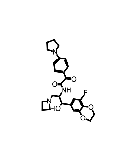 O=C(NC(CN1CCC1)C(O)c1cc(F)c2c(c1)OCCO2)C(=O)c1ccc(N2CCCC2)cc1